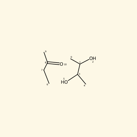 CC(O)C(C)O.CCC(C)=O